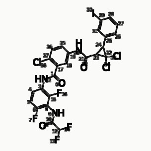 O=C(Nc1ccc(F)c(NC(=O)C(F)F)c1F)c1cc(NC(=O)C2C(c3cccc(I)c3)C2(Cl)Cl)ccc1Cl